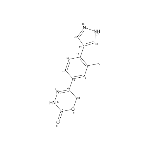 Cc1cc(C2=NNC(=O)OC2)ccc1-c1cn[nH]c1